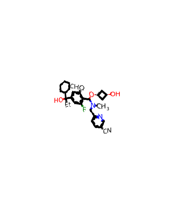 CCC(O)(c1cc(F)c([C@@H](O[C@H]2C[C@@H](O)C2)N(C)Cc2ccc(C#N)cn2)c(C=O)c1)C1CCCCC1